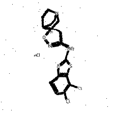 Cl.Clc1ccc2nc(NC3=NO[C@@]4(C3)CN3CCC4CC3)sc2c1Cl